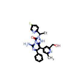 CCC(c1ccc(F)cn1)n1[nH]c2c(-c3cc(C)nc(CO)c3)c(-c3ccccc3)nc(N)[n+]2c1=O